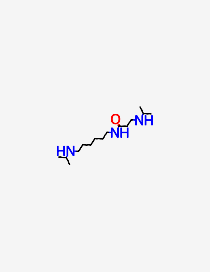 CC(C)NCCCCCCNC(=O)CCNC(C)C